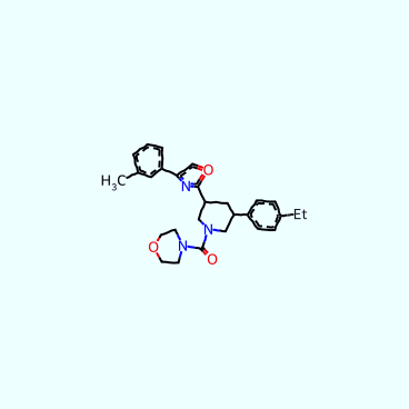 CCc1ccc(C2CC(c3nc(-c4cccc(C)c4)co3)CN(C(=O)N3CCOCC3)C2)cc1